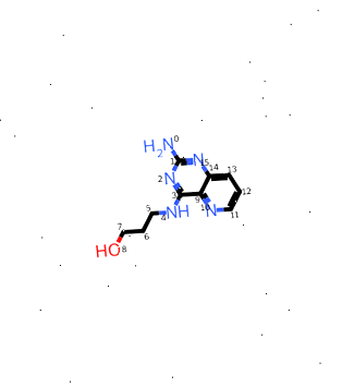 Nc1nc(NCCCO)c2ncccc2n1